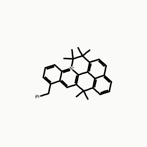 CC(C)Cc1cccc2c1cc1c3[n+]2C(C)(C)C(C)(C)c2ccc4cccc(c4c2-3)C1(C)C